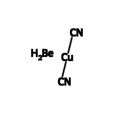 N#[C][Cu][C]#N.[BeH2]